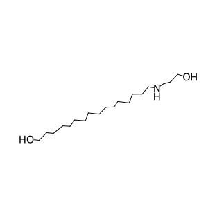 OCCCCCCCCCCCCCCCCNCCCO